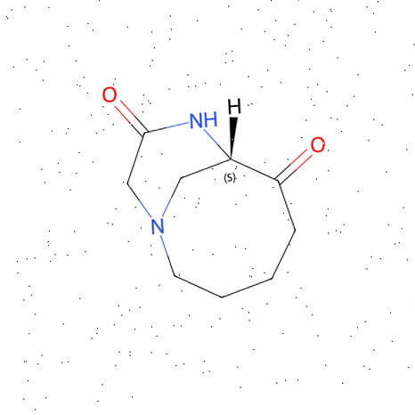 O=C1CN2CCCCC(=O)[C@H](C2)N1